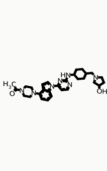 CC(=O)N1CCN(c2cccc3c2ccn3-c2ccnc(NC3CCC(CN4CCC(O)C4)CC3)n2)CC1